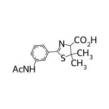 CC(=O)Nc1cccc(C2=NC(C(=O)O)C(C)(C)S2)c1